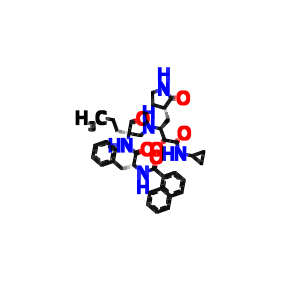 CCC[C@](C=O)(CN[C@@H](C[C@@H]1CCNC1=O)C(=O)C(=O)NC1CC1)NC(=O)[C@@H](Cc1ccccc1)NC(=O)c1cccc2ccccc12